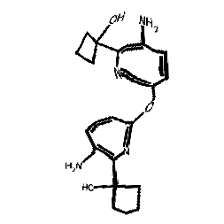 Nc1ccc(Oc2ccc(N)c(C3(O)CCC3)n2)nc1C1(O)CCC1